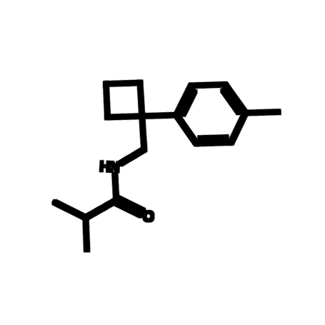 Cc1ccc(C2(CNC(=O)C(C)C)CCC2)cc1